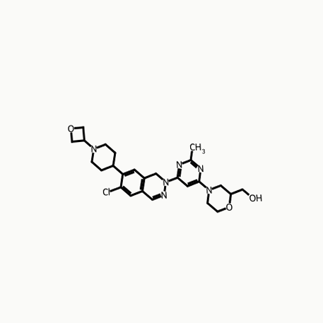 Cc1nc(N2CCOC(CO)C2)cc(N2Cc3cc(C4CCN(C5COC5)CC4)c(Cl)cc3C=N2)n1